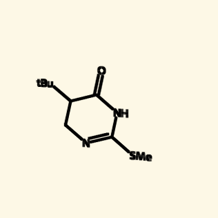 CSC1=NCC(C(C)(C)C)C(=O)N1